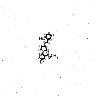 COC(=O)c1cc(Br)cnc1N1CCC(CCc2ccccc2O)CC1